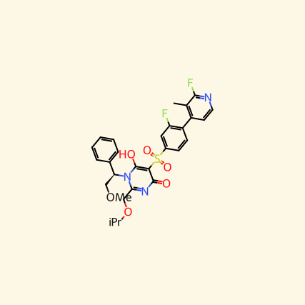 COC[C@@H](c1ccccc1)n1c(COC(C)C)nc(=O)c(S(=O)(=O)c2ccc(-c3ccnc(F)c3C)c(F)c2)c1O